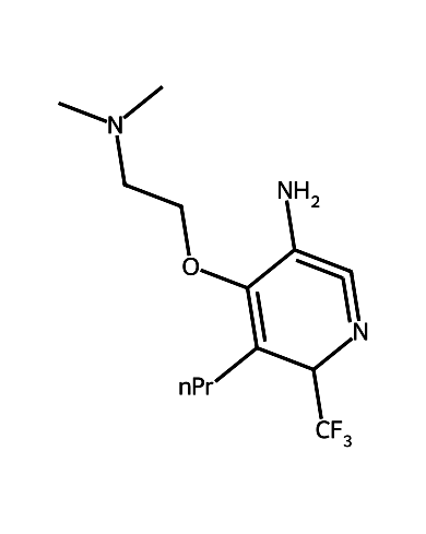 CCCC1=C(OCCN(C)C)C(N)=C=NC1C(F)(F)F